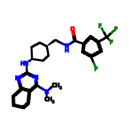 CN(C)c1nc(N[C@H]2CC[C@@H](CNC(=O)c3cc(F)cc(C(F)(F)F)c3)CC2)nc2ccccc12